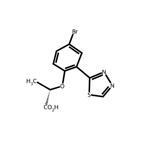 C[C@H](Oc1ccc(Br)cc1-c1nncs1)C(=O)O